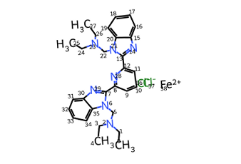 CCN(CC)Cn1c(-c2cccc(-c3nc4ccccc4n3CN(CC)CC)n2)nc2ccccc21.[Cl-].[Cl-].[Fe+2]